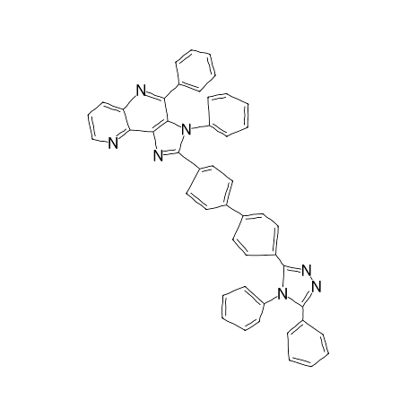 c1ccc(-c2nc3cccnc3c3nc(-c4ccc(-c5ccc(-c6nnc(-c7ccccc7)n6-c6ccccc6)cc5)cc4)n(-c4ccccc4)c23)cc1